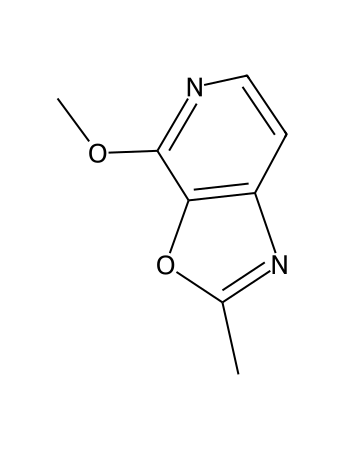 COc1nccc2nc(C)oc12